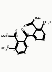 COC(=O)c1c(C(=O)O)cccc1C(=O)c1cccc(C(=O)O)c1C(=O)OC